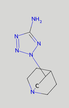 Nc1nnn(C2CN3CCC2CC3)n1